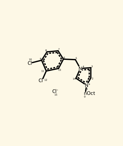 CCCCCCCC[n+]1ccn(Cc2ccc(Cl)c(Cl)c2)c1.[Cl-]